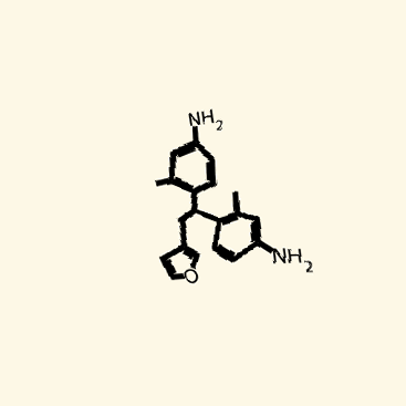 Cc1cc(N)ccc1C(Cc1ccoc1)c1ccc(N)cc1C